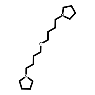 C(CCN1CCCC1)COCCCCN1CCCC1